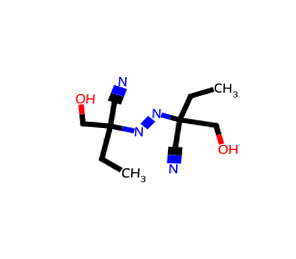 CCC(C#N)(CO)N=NC(C#N)(CC)CO